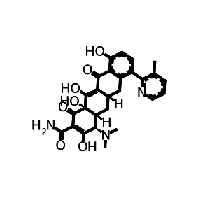 Cc1cccnc1-c1ccc(O)c2c1C[C@@H]1C[C@@H]3[C@@H](N(C)C)C(O)=C(C(N)=O)C(=O)[C@]3(O)C(O)=C1C2=O